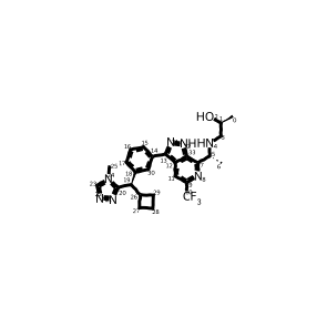 C[C@H](O)CN[C@H](C)c1nc(C(F)(F)F)cc2c(-c3cccc([C@H](c4nncn4C)C4CCC4)c3)n[nH]c12